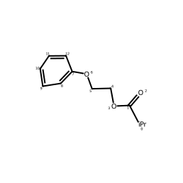 CC(C)C(=O)OCCOc1ccccc1